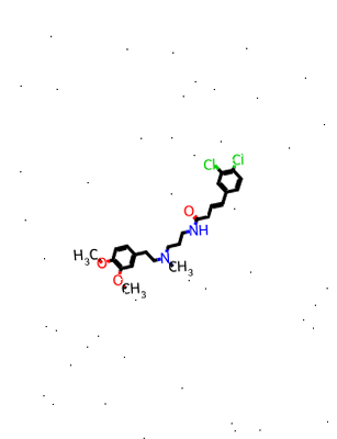 COc1ccc(CCN(C)CCCNC(=O)C/C=C/c2ccc(Cl)c(Cl)c2)cc1OC